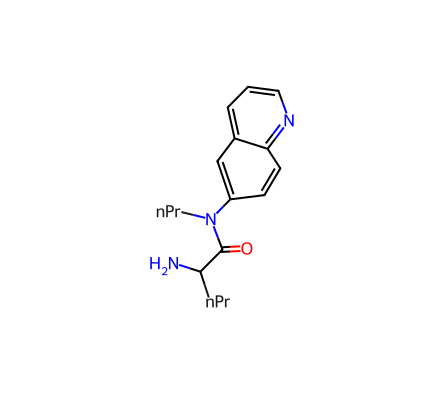 CCCC(N)C(=O)N(CCC)c1ccc2ncccc2c1